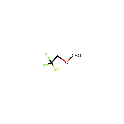 O=COCC(F)(F)S